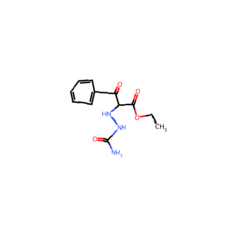 CCOC(=O)C(NNC(N)=O)C(=O)c1ccccc1